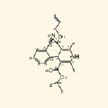 C=CCOC(=O)C1=C(C)NC(C)=C(C(=O)OC(C)C)C1c1ccccc1C#N